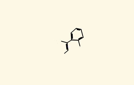 CCOC(=O)/C(=C\O)c1ccccc1F